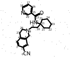 N#Cc1ccc2c(c1)CN(CCC1(NC(=O)c3cccnc3)CCCCC1)CC2